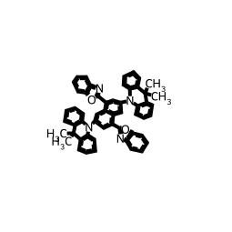 CC1(C)c2ccccc2N(c2cc(-c3nc4ccccc4o3)c3cc(N4c5ccccc5C(C)(C)c5ccccc54)cc(-c4nc5ccccc5o4)c3c2)c2ccccc21